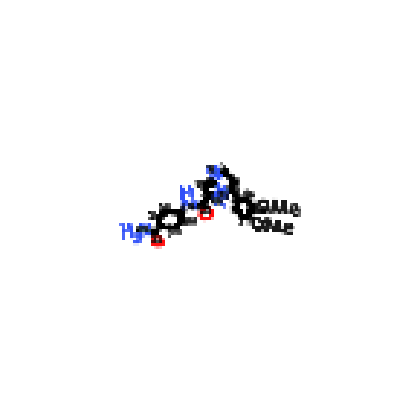 COc1ccc(-c2ccnc3cc(C(=O)N[C@H]4CC[C@H](C(N)=O)CC4)nn23)cc1OC